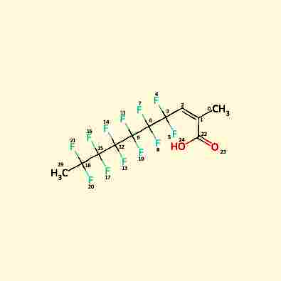 CC(=CC(F)(F)C(F)(F)C(F)(F)C(F)(F)C(F)(F)C(C)(F)F)C(=O)O